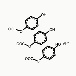 O=C([O-])Oc1ccc(O)cc1.O=C([O-])Oc1ccc(O)cc1.O=C([O-])Oc1ccc(O)cc1.[Al+3]